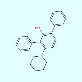 Oc1c(-c2ccccc2)ccc(C2CCCCC2)c1-c1ccccc1